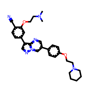 CN(C)CCOc1cc(-c2cnn3cc(-c4ccc(OCCN5CCCCC5)cc4)cnc23)ccc1C#N